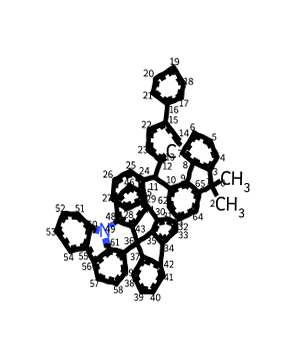 CC1(C)c2ccccc2-c2c(C(c3ccc(-c4ccccc4)cc3)c3ccccc3-c3cccc4c3C3(c5ccccc5-4)c4ccccc4-n4c5ccccc5c5cccc3c54)cccc21